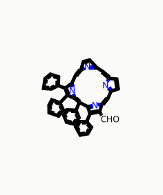 O=CC1=C(c2ccccc2)C2=NC1=CC1=NC(=CC3=NC(=CC4=NC(=C2c2ccccc2)C(c2ccccc2)=C4c2ccccc2)C=C3)C=C1